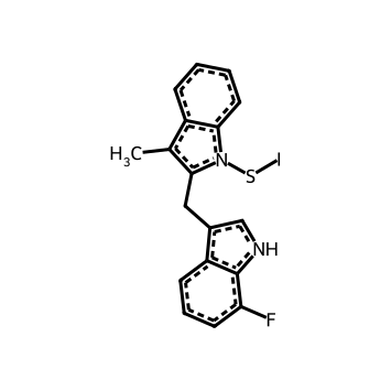 Cc1c(Cc2c[nH]c3c(F)cccc23)n(SI)c2ccccc12